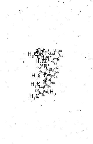 C=CC1=[N+](CC[Si](C)(C)C)C2C(=C)[n+]3ccc(C)cc3-c3c(ccc4c3oc3nc(-c5c(C)cc(C)cc5C)ccc34)CCC2c2ccccc21